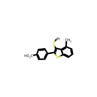 Cc1cccc2sc(-c3ccc(C(=O)O)cc3)c(SC(C)C)c12